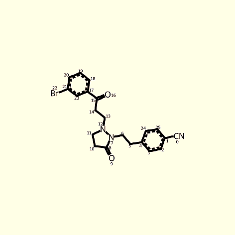 N#Cc1ccc(CCN2C(=O)CCN2CCC(=O)c2cccc(Br)c2)cc1